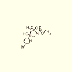 COC(=O)[C@@H]1CC[C@](O)(c2ccc(Br)cn2)CC1(C)C